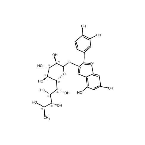 C[C@@H](O)[C@@H](O)[C@H](O)[C@@H](O)[C@H]1OC(Oc2cc3c(O)cc(O)cc3[o+]c2-c2ccc(O)c(O)c2)[C@H](O)[C@@H](O)[C@@H]1O